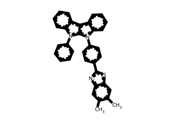 Cc1cc2nc(-c3ccc(-n4c5ccccc5c5c6ccccc6n(-c6ccccc6)c54)cc3)sc2cc1C